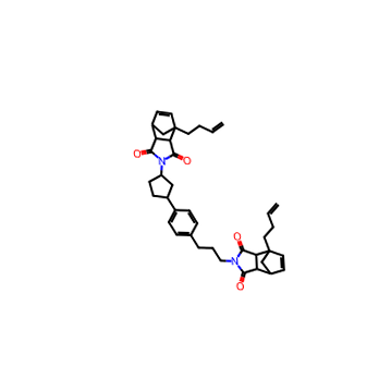 C=CCCC12C=CC(C1)C1C(=O)N(CCCc3ccc(C4CCC(N5C(=O)C6C7C=CC(CCC=C)(C7)C6C5=O)C4)cc3)C(=O)C12